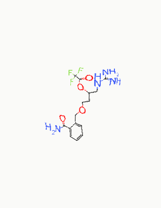 N=C(N)NCC(CCOCc1ccccc1C(N)=O)OC(=O)C(F)(F)F